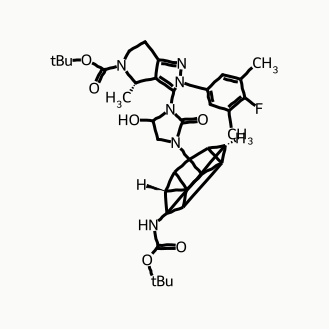 Cc1cc(-n2nc3c(c2N2C(=O)N(C45C6[C@@H]7C68C6C9(C4[C@@H]9C67NC(=O)OC(C)(C)C)C85)CC2O)[C@H](C)N(C(=O)OC(C)(C)C)CC3)cc(C)c1F